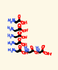 NCC(=O)O.NCC(=O)O.NCC(=O)O.NCC(=O)O.NCC(=O)O.NCC(=O)O.NCC(=O)O